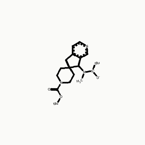 CN(C1c2cnccc2CC12CCN(C(=O)OC(C)(C)C)CC2)[S+]([O-])C(C)(C)C